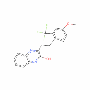 COc1ccc(CCc2nc3ccccc3nc2O)c(C(F)(F)F)c1